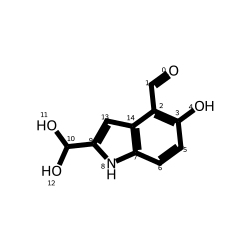 O=Cc1c(O)ccc2[nH]c(C(O)O)cc12